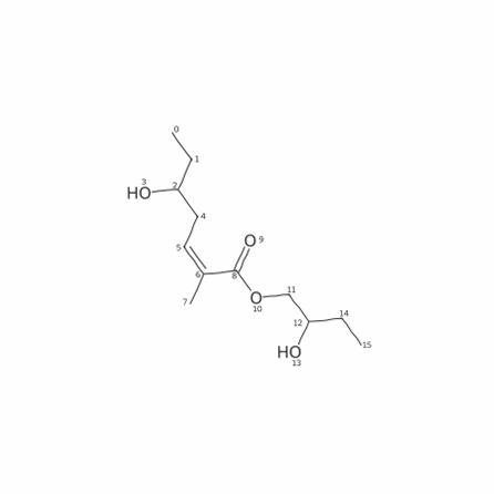 CCC(O)CC=C(C)C(=O)OCC(O)CC